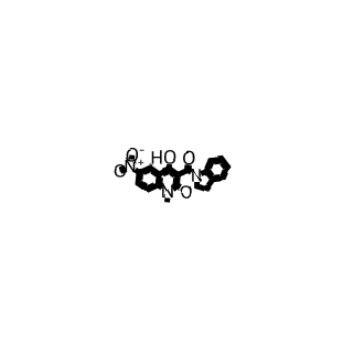 Cn1c(=O)c(C(=O)N2CCc3ccccc32)c(O)c2cc([N+](=O)[O-])ccc21